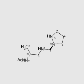 CC(=O)N[C@H](C)CNC[C@@H]1CCCN1